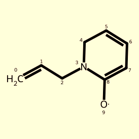 C=CCN1CC=CC=C1[O]